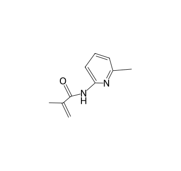 C=C(C)C(=O)Nc1cccc(C)n1